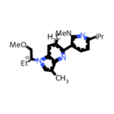 CC[C@@H](COC)n1cc(C)c2nc(-c3ccc(C(C)C)nc3NC)c(C)cc21